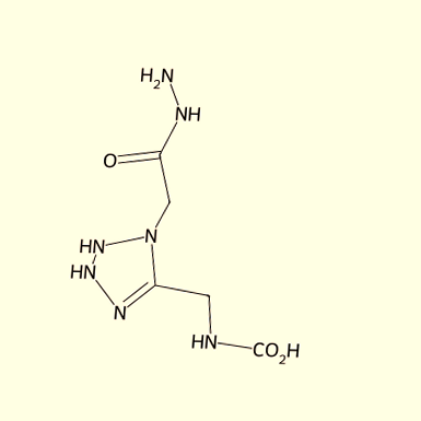 NNC(=O)CN1NNN=C1CNC(=O)O